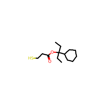 CCC(CC)(OC(=O)CCS)C1CCCCC1